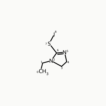 CCN1CCN=C1SI